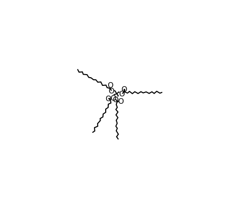 CCCCCCCCCCCCCCC(=O)OCC(COC(=O)CCCCCCCCCCCCCC)(COC(=O)CCCCCCCCCCCCCC)COC(=O)CCCCCCCCCCCCCC